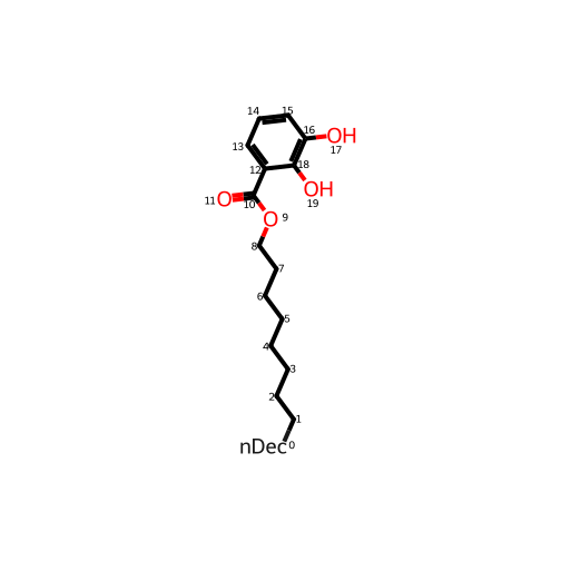 CCCCCCCCCCCCCCCCCCOC(=O)c1cccc(O)c1O